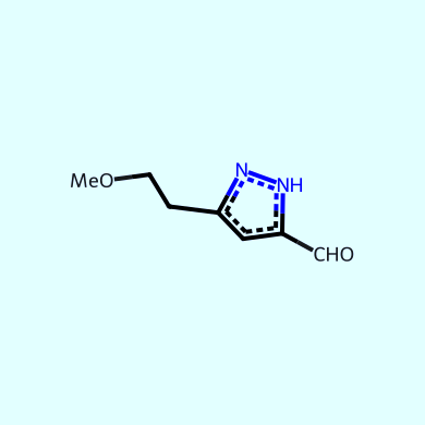 COCCc1cc(C=O)[nH]n1